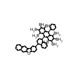 Bc1c(B)c(B)c2c(-c3ccc(-c4ccc5oc6cc7ccccc7cc6c5c4)c4ccccc34)c3c(B)c(B)c(B)c(B)c3c(-c3ccccc3)c2c1B